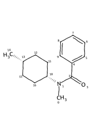 CN(C(=O)c1ccccc1)[C@H]1CC[C@@H](C)CC1